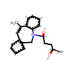 C/C1=C/c2ccccc2CN(C(=O)CCC(=O)C(C)C)c2ccccc21